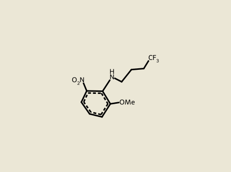 COc1cccc([N+](=O)[O-])c1NCCCC(F)(F)F